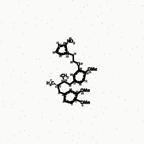 COc1ccc(C[C@H](C)[C@H](C)Cc2ccc(OC)c(OCCn3ccnc3[N+](=O)[O-])c2)cc1OC